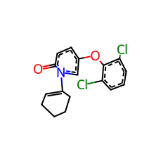 O=c1ccc(Oc2c(Cl)cccc2Cl)cn1C1=CCCCC1